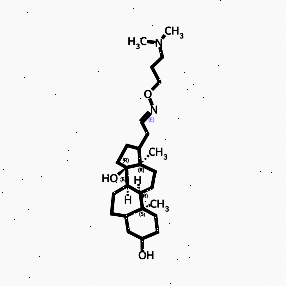 CN(C)CCCO/N=C/CC1CC[C@@]2(O)[C@@H]3CCC4CC(O)CC[C@]4(C)[C@@H]3CC[C@]12C